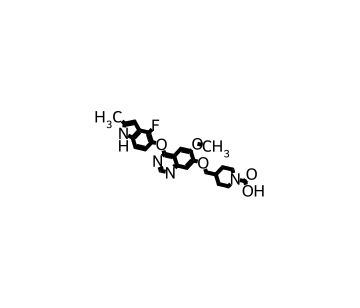 COc1cc2c(Oc3ccc4[nH]c(C)cc4c3F)ncnc2cc1OCC1CCN(C(=O)O)CC1